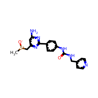 C[S+]([O-])Cc1cc(N)nc(-c2ccc(NC(=O)NCc3ccncc3)cc2)n1